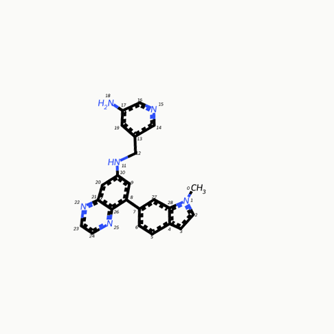 Cn1ccc2ccc(-c3cc(NCc4cncc(N)c4)cc4nccnc34)cc21